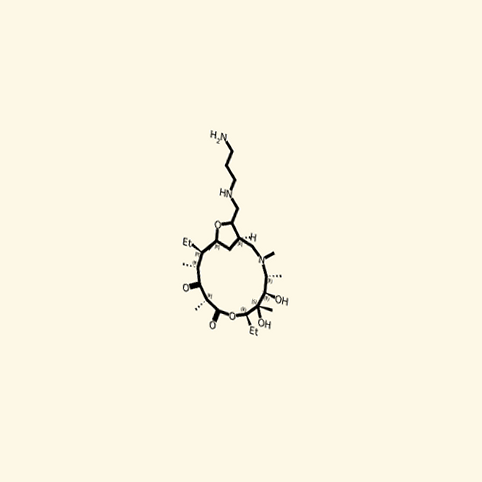 CC[C@@H]1[C@@H](C)C(=O)[C@@H](C)C(=O)O[C@H](CC)[C@@](C)(O)[C@H](O)[C@@H](C)N(C)C[C@H]2C[C@@]1(C)OC2CNCCCN